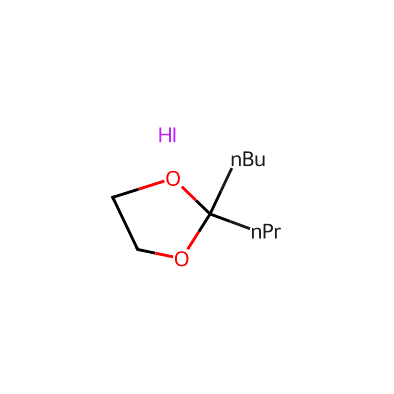 CCCCC1(CCC)OCCO1.I